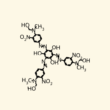 CN(CO)c1ccc(N=Nc2c(O)c(N=Nc3ccc(N(C)CO)c([N+](=O)[O-])c3)c(O)c(N=Nc3ccc(N(C)CO)c([N+](=O)[O-])c3)c2O)cc1[N+](=O)[O-]